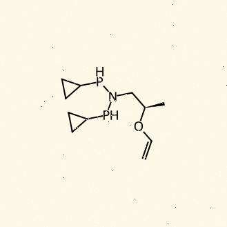 C=CO[C@H](C)CN(PC1CC1)PC1CC1